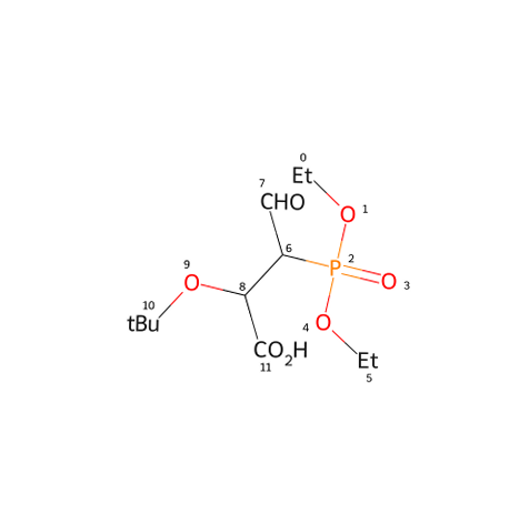 CCOP(=O)(OCC)C(C=O)C(OC(C)(C)C)C(=O)O